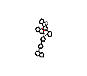 c1ccc(N(c2ccc(-c3ccc(-c4cccc5ccccc45)cc3)cc2)c2ccc3ccccc3c2)c(-c2ccc3c(c2)oc2ccccc23)c1